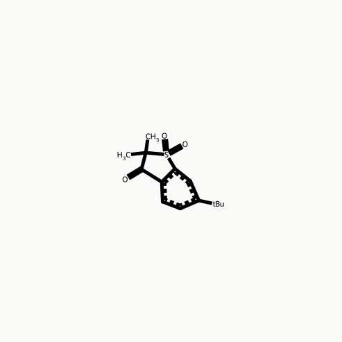 CC(C)(C)c1ccc2c(c1)S(=O)(=O)C(C)(C)C2=O